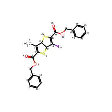 CC1=C(C(=O)OCc2ccccc2)SC2C(I)=C(C(=O)OCc3ccccc3)SC12